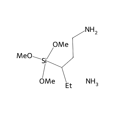 CCC(CCN)[Si](OC)(OC)OC.N